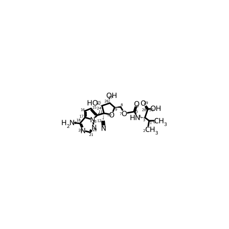 CC(C)[C@H](NC(=O)OC[C@H]1O[C@@](C#N)(c2ccc3c(N)ncnn23)[C@H](O)[C@@H]1O)C(=O)O